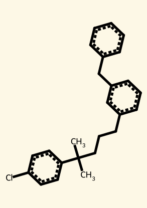 CC(C)(CCCc1cccc(Cc2ccccc2)c1)c1ccc(Cl)cc1